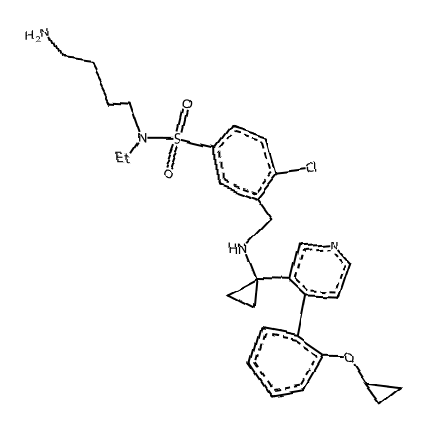 CCN(CCCCN)S(=O)(=O)c1ccc(Cl)c(CNC2(c3cnccc3-c3ccccc3OC3CC3)CC2)c1